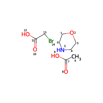 C1COCCN1.CC(=O)O.O=C(O)CBr